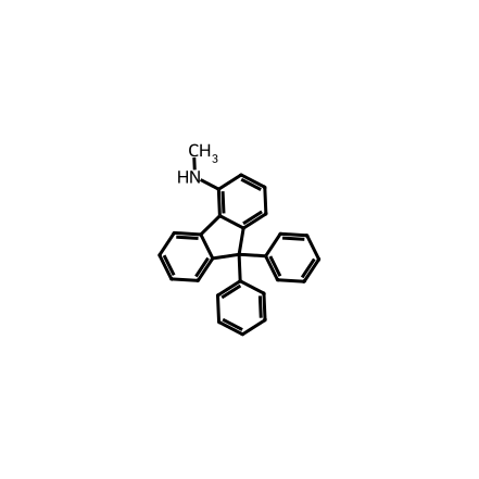 CNc1cccc2c1-c1ccccc1C2(c1ccccc1)c1ccccc1